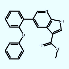 COC(=O)c1c[nH]c2ncc(-c3ccccc3Oc3ccccc3)cc12